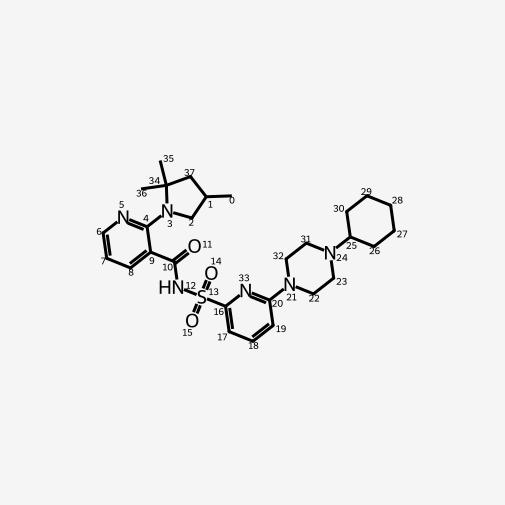 CC1CN(c2ncccc2C(=O)NS(=O)(=O)c2cccc(N3CCN(C4CCCCC4)CC3)n2)C(C)(C)C1